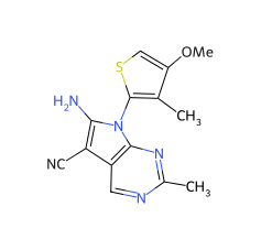 COc1csc(-n2c(N)c(C#N)c3cnc(C)nc32)c1C